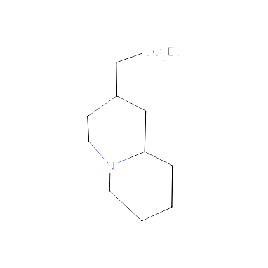 CCOC(=O)CC1CCN2CCCCC2C1